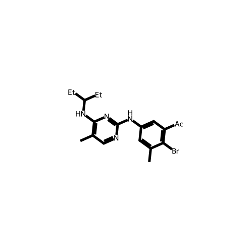 CCC(CC)Nc1nc(Nc2cc(C)c(Br)c(C(C)=O)c2)ncc1C